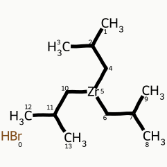 Br.CC(C)[CH2][Zr]([CH2]C(C)C)[CH2]C(C)C